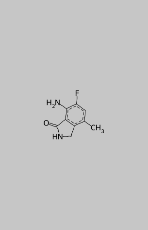 Cc1cc(F)c(N)c2c1CNC2=O